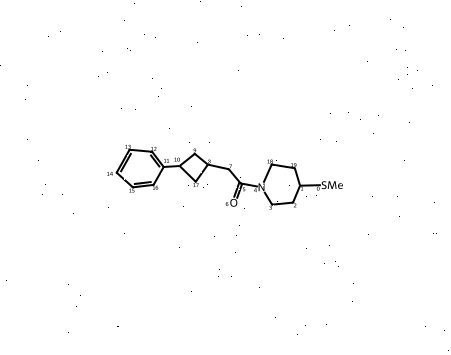 CSC1CCN(C(=O)CC2CC(c3ccccc3)C2)CC1